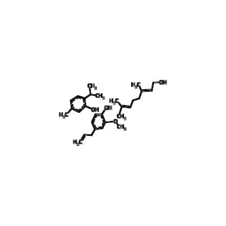 C=CCc1ccc(O)c(OC)c1.CC(C)=CCC/C(C)=C/CO.Cc1ccc(C(C)C)c(O)c1